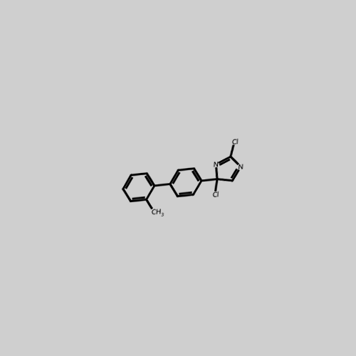 Cc1ccccc1-c1ccc(C2(Cl)C=NC(Cl)=N2)cc1